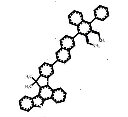 C/C=c1/c(-c2ccccc2)c2ccccc2c(-c2ccc3cc(-c4ccc5c(c4)-c4c(c6c7ccccc7oc6c6ccccc46)C5(C)C)ccc3c2)/c1=C/C